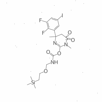 CN1C(OC(=O)NCOCC[Si](C)(C)C)=NC(C)(c2cc(I)cc(F)c2F)CS1(=O)=O